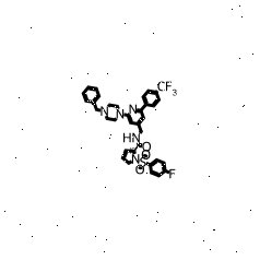 O=C(NCc1cc(-c2ccc(C(F)(F)F)cc2)nc(N2CCN(Cc3ccccc3)CC2)c1)[C@@H]1C=CCN1S(=O)(=O)c1ccc(F)cc1